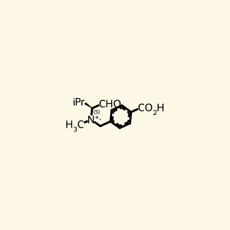 CC(C)[C@@H](C=O)[N+](C)Cc1ccc(C(=O)O)cc1